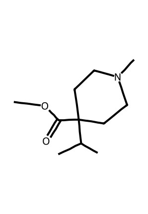 COC(=O)C1(C(C)C)CCN(C)CC1